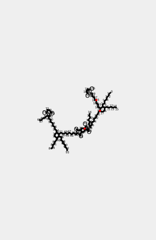 CCCCCCCCC1C(CCCCCC)CCC(CCCCCCCCC(C)(CCCCCC)n2c(=O)c3cc4c(=O)n(CCCCCCCCC5C(CCCCCCCCC(C)(CCCCC)N6C(=O)C=CC6=O)CCC(CCCCCC)C5CCCCCCCC)c(=O)c4cc3c2=O)C1CCCCCCCCN1C(=O)C=CC1=O